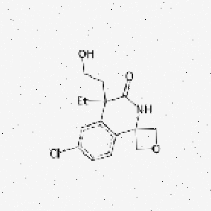 CCC1(CCO)C(=O)NC2(COC2)c2ccc(Cl)cc21